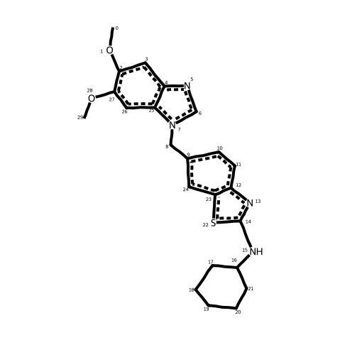 COc1cc2ncn(Cc3ccc4nc(NC5CCCCC5)sc4c3)c2cc1OC